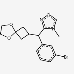 Cn1cnnc1C(c1cccc(Br)c1)C1CC2(C1)OCCO2